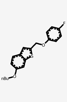 CCCCOc1ccc2cc(COc3ccc(F)cc3)sc2c1